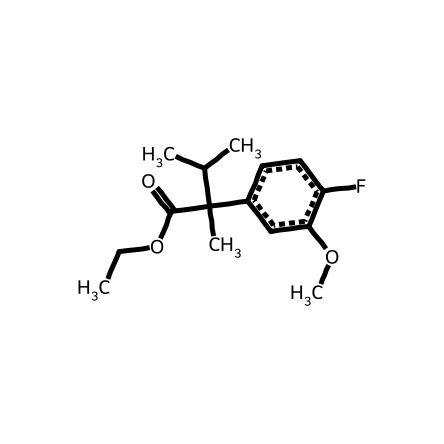 CCOC(=O)C(C)(c1ccc(F)c(OC)c1)C(C)C